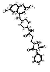 O=C(CCC1NC(=S)N(c2ccccc2)C1=O)NC1CCC(Nc2cc(C(F)(F)F)nc3ccc(Cl)cc23)CC1